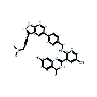 CC(NC(=O)c1cc(C#N)cnc1NCc1ccc(-c2cnc3[nH]nc(C#CCN(C)C)c3c2)cc1)c1ccc(F)cc1